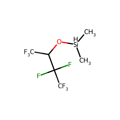 C[SiH](C)OC(C(F)(F)F)C(F)(F)C(F)(F)F